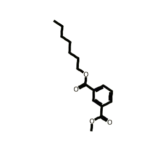 CCCCCCCOC(=O)c1cccc(C(=O)OC)c1